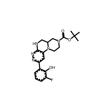 CC(C)(C)OC(=O)N1CCN2c3cc(-c4cccc(F)c4O)nnc3NCC2C1